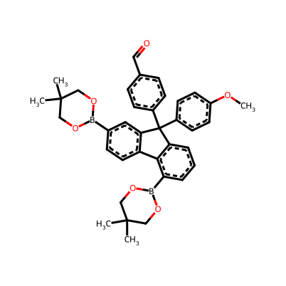 COc1ccc(C2(c3ccc(C=O)cc3)c3cc(B4OCC(C)(C)CO4)ccc3-c3c(B4OCC(C)(C)CO4)cccc32)cc1